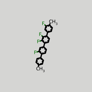 Cc1ccc(-c2ccc(-c3ccc(-c4ccc(C)c(F)c4)c(F)c3F)cc2F)cc1